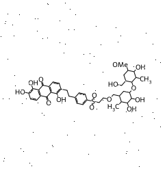 COC1CC(CO)C(OC2CC(COCCS(=O)(=O)c3ccc(CCc4ccc5c(c4O)C(=O)c4ccc(O)c(O)c4C5=O)cc3)C(C)C(O)C2O)C(C)C1O